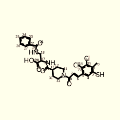 Cc1c(S)cc(C=CC(=O)N2CCC(C(=O)NC(CNC(=O)c3ccccc3)C(=O)O)CC2)c(Cl)c1Cl